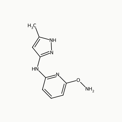 Cc1cc(Nc2cccc(ON)n2)n[nH]1